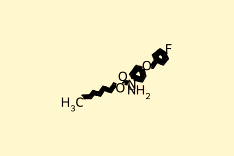 CCCCCCCCOC(=O)N(N)c1ccc(OCc2ccc(F)cc2)cc1